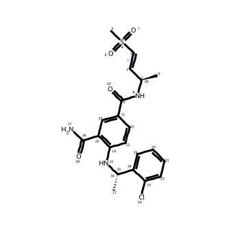 C[C@H](/C=C/S(C)(=O)=O)NC(=O)c1ccc(N[C@@H](C)c2ccccc2Cl)c(C(N)=O)c1